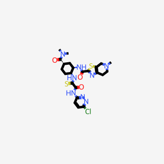 CN1CCc2nc(C(=O)N[C@@H]3C[C@@H](C(=O)N(C)C)CC[C@@H]3NC(=S)C(=O)Nc3ccc(Cl)nn3)sc2C1